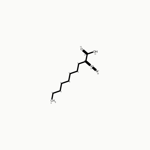 CCCCCCCCC(=[N+]=[N-])C(=O)O